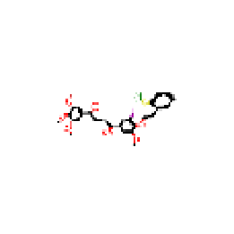 COc1cc(C(=O)CCC(=O)c2cc(OC)c(OC)c(OC)c2)cc(I)c1OCCc1ccccc1SCl